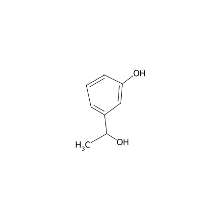 CC(O)c1cccc(O)c1